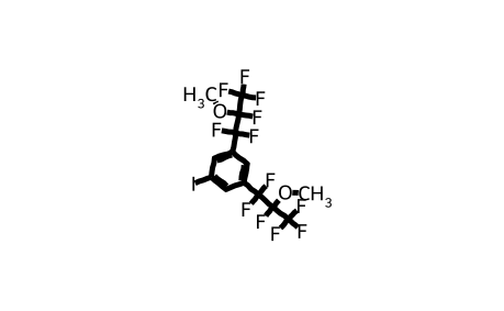 COC(F)(C(F)(F)F)C(F)(F)c1cc(I)cc(C(F)(F)C(F)(OC)C(F)(F)F)c1